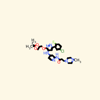 CN1CCN(CCC(=O)Nc2cc(Nc3cc(-c4cc(Cl)ccc4F)nnc3OCC3COC(C)(C)O3)ccn2)CC1